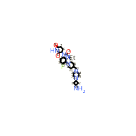 CCn1c(=O)n(C2CCC(=O)NC2=O)c2ccc(F)c(N3CCC(CN4CCN(C5CC(N)C5)CC4)CC3)c21